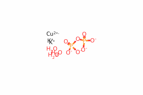 O.O.O.O=P([O-])([O-])OP(=O)([O-])[O-].[Cu+2].[K+].[K+]